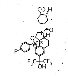 O=C(O)[C@H]1CC[C@H](C(=O)N2CC[C@@]3(S(=O)(=O)c4ccc(F)cc4)c4ccc(C(O)(C(F)(F)F)C(F)(F)F)cc4CC[C@@H]23)CC1